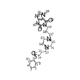 Cc1cccc(C)c1[S+]([O-])CCCN1CCN(CCCn2c(=O)c3c(ncn3C)n(C)c2=O)CC1